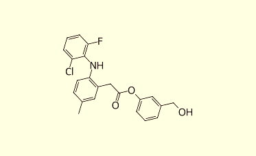 Cc1ccc(Nc2c(F)cccc2Cl)c(CC(=O)Oc2cccc(CO)c2)c1